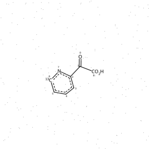 O=C(c1ccc[13cH]n1)[13C](=O)O